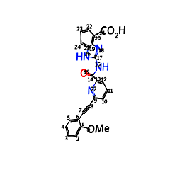 COc1ccccc1C#Cc1cccc(C(=O)Nc2nc3c(C(=O)O)cccc3[nH]2)n1